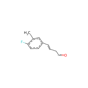 Cc1cc(C=CC[C]=O)ccc1F